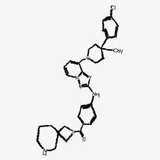 O=C(c1ccc(Nc2nc3c(N4CCC(O)(c5ccc(Cl)cc5)CC4)cccn3n2)cc1)N1CC2(CCCNC2)C1